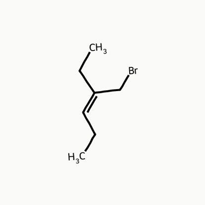 CC/C=C(/CC)CBr